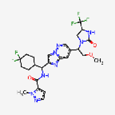 COCC(c1cnn2cc(C(NC(=O)c3ccnn3C)C3CCC(F)(F)CC3)nc2c1)N1C[C@@H](C(F)(F)F)NC1=O